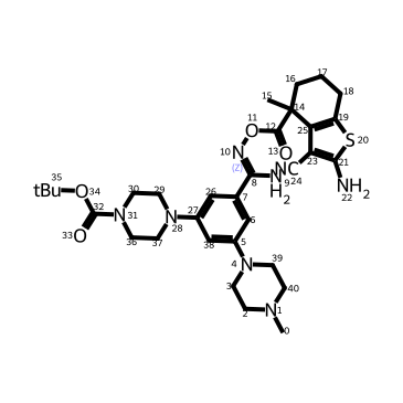 CN1CCN(c2cc(/C(N)=N/OC(=O)C3(C)CCCc4sc(N)c(C#N)c43)cc(N3CCN(C(=O)OC(C)(C)C)CC3)c2)CC1